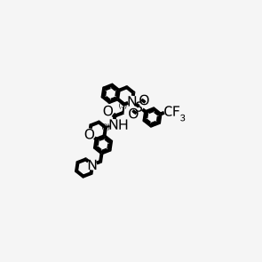 O=C(C[C@H]1c2ccccc2CCN1S(=O)(=O)c1cccc(C(F)(F)F)c1)N[C@@H]1CCOc2cc(CN3CCCCC3)ccc21